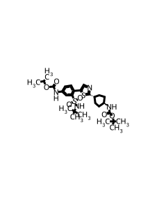 CC(C)OC(=O)Nc1ccc(-c2cnc([C@H]3CC[C@H](NC(=O)OC(C)(C)C)CC3)s2)c(S(=O)(=O)NC(C)(C)C)c1